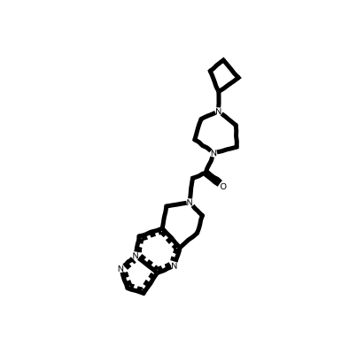 O=C(CN1CCc2nc3ccnn3cc2C1)N1CCN(C2CCC2)CC1